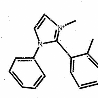 Cc1ccccc1-c1n(-c2ccccc2)cc[n+]1C